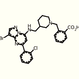 O=C(O)c1ccccc1CN1CCCC(CNc2cc(-c3ccccc3Cl)nc3c(Br)cnn23)C1